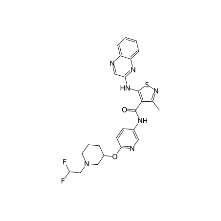 Cc1nsc(Nc2cnc3ccccc3n2)c1C(=O)Nc1ccc(OC2CCCN(CC(F)F)C2)nc1